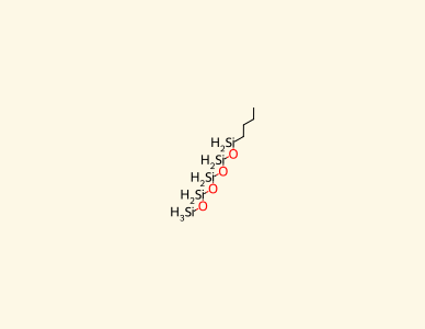 CCCC[SiH2]O[SiH2]O[SiH2]O[SiH2]O[SiH3]